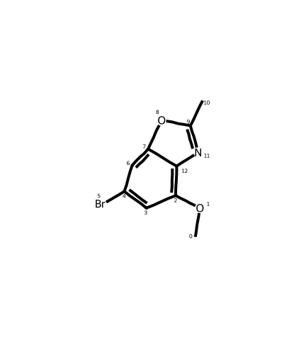 COc1cc(Br)cc2oc(C)nc12